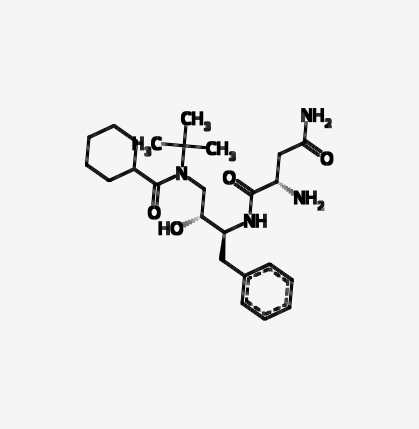 CC(C)(C)N(C[C@@H](O)[C@H](Cc1ccccc1)NC(=O)[C@@H](N)CC(N)=O)C(=O)C1CCCCC1